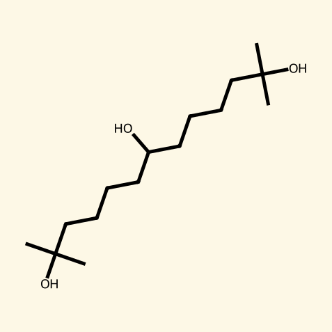 CC(C)(O)CCCCC(O)CCCCC(C)(C)O